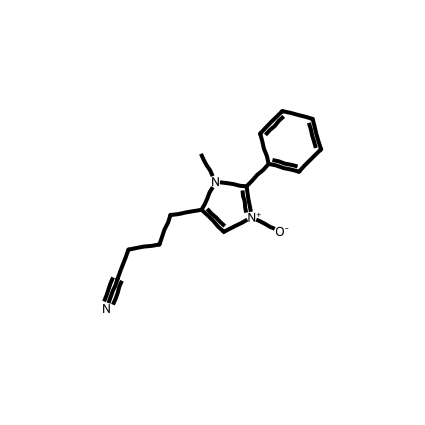 Cn1c(CCCC#N)c[n+]([O-])c1-c1ccccc1